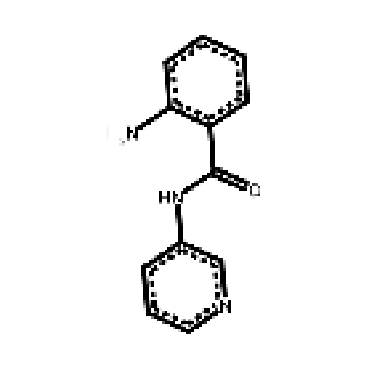 Nc1ccccc1C(=O)Nc1cccnc1